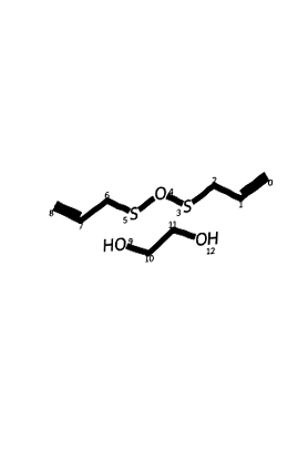 C=CCSOSCC=C.OCCO